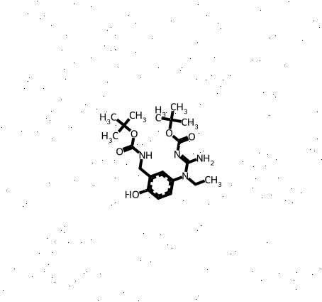 CCN(C(N)=NC(=O)OC(C)(C)C)c1ccc(O)c(CNC(=O)OC(C)(C)C)c1